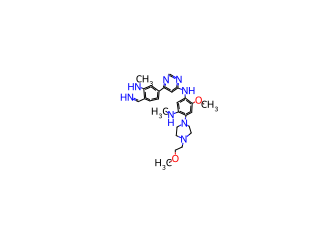 CNc1cc(-c2cc(Nc3cc(NC)c(N4CCN(CCOC)CC4)cc3OC)ncn2)ccc1C=N